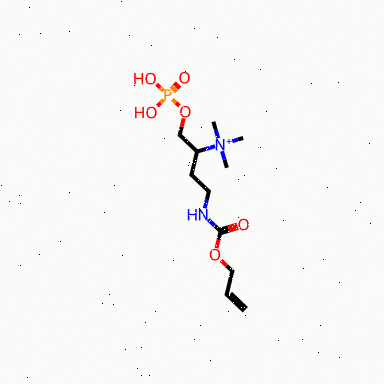 C=CCOC(=O)NCCC(COP(=O)(O)O)[N+](C)(C)C